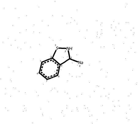 [Na][CH]1NSc2ccccc21